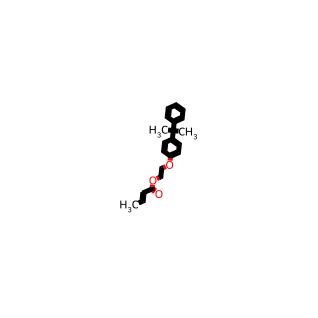 CC=CC(=O)OCCOc1ccc(C(C)(C)c2ccccc2)cc1